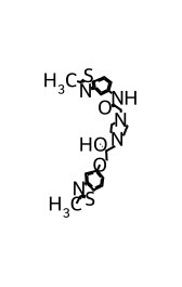 Cc1nc2cc(NC(=O)CN3CCN(C[C@@H](O)COc4ccc5sc(C)nc5c4)CC3)ccc2s1